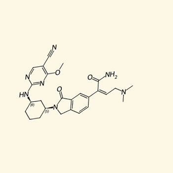 COc1nc(N[C@@H]2CCC[C@H](N3Cc4ccc(C(=CCN(C)C)C(N)=O)cc4C3=O)C2)ncc1C#N